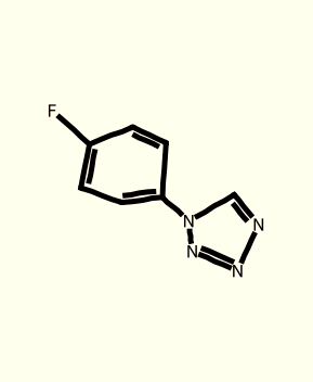 Fc1ccc(-n2cnnn2)cc1